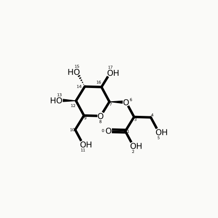 O=C(O)C(CO)O[C@H]1OC(CO)[C@@H](O)[C@H](O)C1O